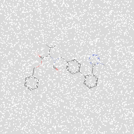 CC(C)C(C(=O)OCc1ccccc1)N(C=O)Cc1ccc(-c2ccccc2-c2nnnn2C)cc1